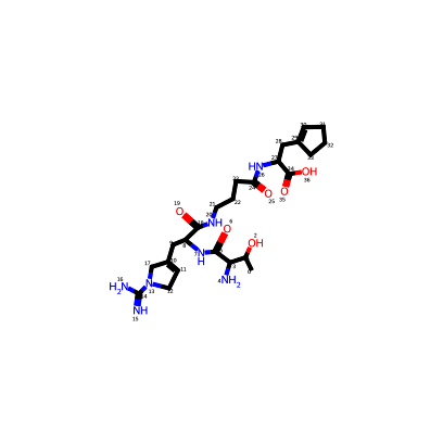 CC(O)C(N)C(=O)NC(CC1=CCN(C(=N)N)C1)C(=O)NCCCC(=O)NC(CC1=CCCC1)C(=O)O